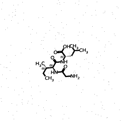 CC[C@H](C)[C@H](NC(=O)CN)C(=O)N[C@@H](CC(C)C)C(=O)O